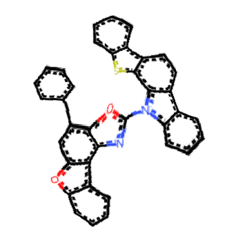 c1ccc(-c2cc3oc4ccccc4c3c3nc(-n4c5ccccc5c5ccc6c7ccccc7sc6c54)oc23)cc1